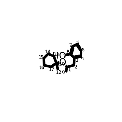 CC(Cc1ccccc1O)OC1(C)CCCCC1